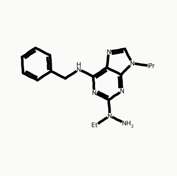 CCN(N)c1nc(NCc2ccccc2)c2ncn(C(C)C)c2n1